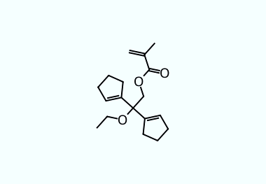 C=C(C)C(=O)OCC(OCC)(C1=CCCC1)C1=CCCC1